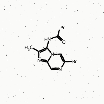 Cc1nc2cnc(Br)cn2c1NC(=O)C(C)C